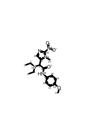 CCN(CC)C(C(=O)Nc1ccc(OC)cc1)c1cnc([N+](=O)[O-])n1C